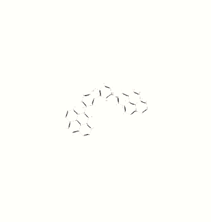 c1cc2ccc3cc(-c4ccc5oc6ccc(-c7cc8cccc9ccc%10cccc7c%10c98)cc6c5c4)cc4ccc(c1)c2c34